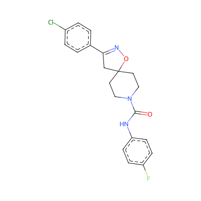 O=C(Nc1ccc(F)cc1)N1CCC2(CC1)CC(c1ccc(Cl)cc1)=NO2